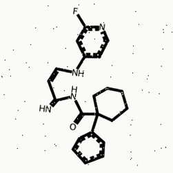 N=C(/C=C\Nc1ccnc(F)c1)NC(=O)C1(c2ccccc2)CCCCC1